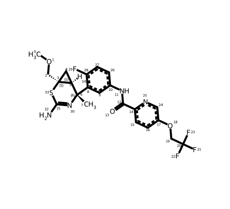 COC[C@]12C[C@H]1[C@](C)(c1cc(NC(=O)c3ccc(OCC(F)(F)F)cn3)ccc1F)N=C(N)S2